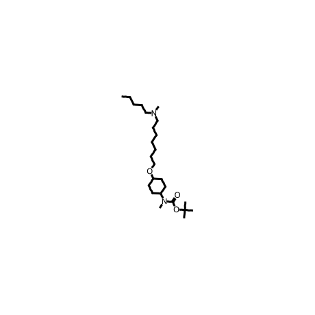 CCCCCN(C)CCCCCCCOC1CCC(N(C)C(=O)OC(C)(C)C)CC1